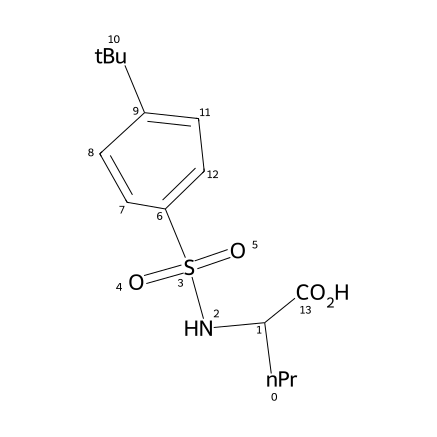 [CH2]CCC(NS(=O)(=O)c1ccc(C(C)(C)C)cc1)C(=O)O